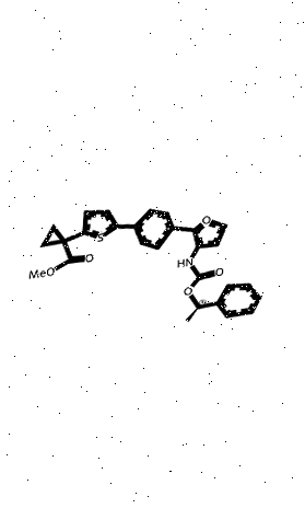 COC(=O)C1(c2ccc(-c3ccc(-c4occc4NC(=O)O[C@H](C)c4ccccc4)cc3)s2)CC1